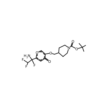 CC(C)(C)OC(=O)N1CCC(COc2coc(C(N)(F)C(F)F)cc2=O)CC1